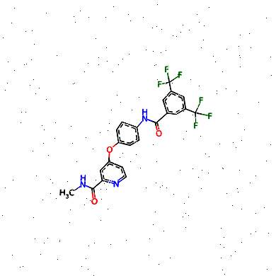 CNC(=O)c1cc(Oc2ccc(NC(=O)c3cc(C(F)(F)F)cc(C(F)(F)F)c3)cc2)ccn1